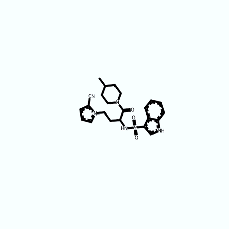 CC1CCN(C(=O)C(CCn2cccc2C#N)NS(=O)(=O)c2c[nH]c3ccccc23)CC1